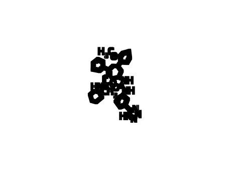 COc1ccccc1C1CC(NC(=O)Nc2cccc(-c3nnn[nH]3)c2)C(=O)N(CC(=O)NC2(C)CCCCC2)C(c2ccccc2)C1